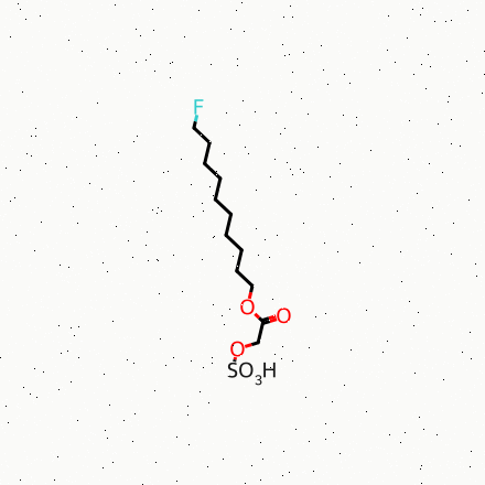 O=C(COS(=O)(=O)O)OCCCCCCCCCCF